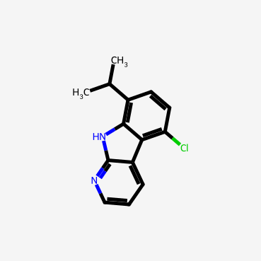 CC(C)c1ccc(Cl)c2c1[nH]c1ncccc12